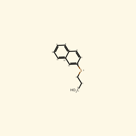 O=C(O)CCSc1ccc2ccccc2c1